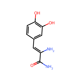 NC(=O)/C(N)=C/c1ccc(O)c(O)c1